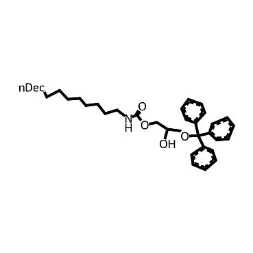 CCCCCCCCCCCCCCCCCCNC(=O)OCC(O)COC(c1ccccc1)(c1ccccc1)c1ccccc1